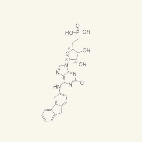 O=P(O)(O)CC[C@H]1O[C@@H](n2cnc3c(Nc4ccc5c(c4)-c4ccccc4C5)nc(Cl)nc32)[C@@H](O)C1O